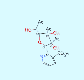 CC(=O)C(O)[C@H]1O[C@@H](c2ncccc2C(=O)O)[C@@](O)(C(C)=O)[C@@]1(O)C(C)=O